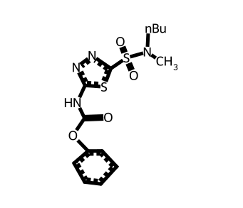 CCCCN(C)S(=O)(=O)c1nnc(NC(=O)Oc2ccccc2)s1